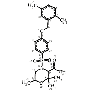 Cc1ccc(C)c(COc2ccc(S(=O)(=O)N3CC(C)OC(C)(C)C3C(=O)O)cc2)c1